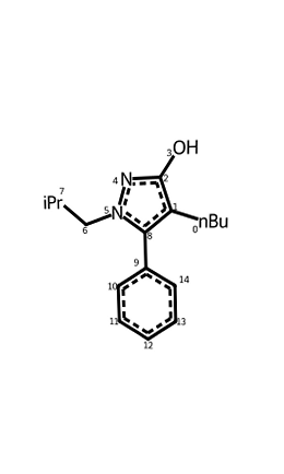 CCCCc1c(O)nn(CC(C)C)c1-c1ccccc1